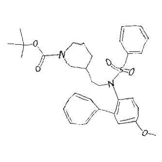 COc1ccc(N(CC2CCCN(C(=O)OC(C)(C)C)C2)S(=O)(=O)c2ccccc2)c(-c2ccccc2)c1